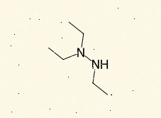 [CH2]CNN(CC)CC